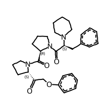 O=C(COc1ccccc1)[C@@H]1CCCN1C(=O)[C@H]1CCCN1C(=O)[C@H](Cc1ccccc1)N1CCCCC1